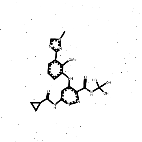 COc1c(Nc2cc(NC(=O)C3CC3)nnc2C(=O)NC(O)(O)O)cccc1-c1ncn(C)n1